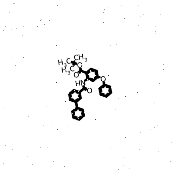 CC(C)(C)OC(=O)c1ccc(Oc2ccccc2)cc1NC(=O)c1cccc(-c2ccccc2)c1